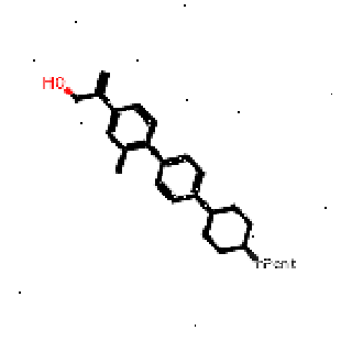 C=C(CO)c1ccc(-c2ccc(C3CCC(CCCCC)CC3)cc2)c(C)c1